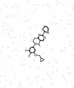 CC1c2cnc(-c3ncccn3)nc2CCN1c1cc(F)c(F)c(OCC2CC2)c1